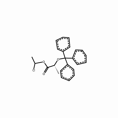 CC(Cl)OC(=O)[C@@H](C)OC(c1ccccc1)(c1ccccc1)c1ccccc1